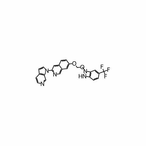 FC(F)(F)c1ccc2[nH]n(OCOc3ccc4cc(-n5ccc6ccncc65)ncc4c3)c2c1